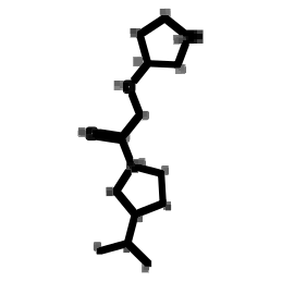 CC(C)C1CCN(C(=O)COC2CCNC2)C1